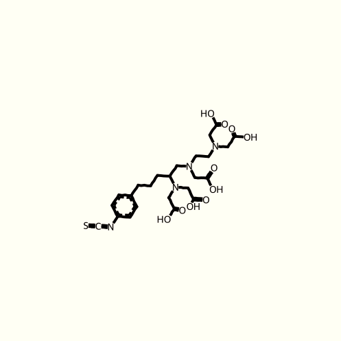 O=C(O)CN(CCN(CC(=O)O)CC(CCCc1ccc(N=C=S)cc1)N(CC(=O)O)CC(=O)O)CC(=O)O